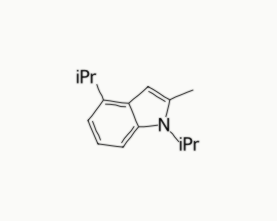 Cc1cc2c(C(C)C)cccc2n1C(C)C